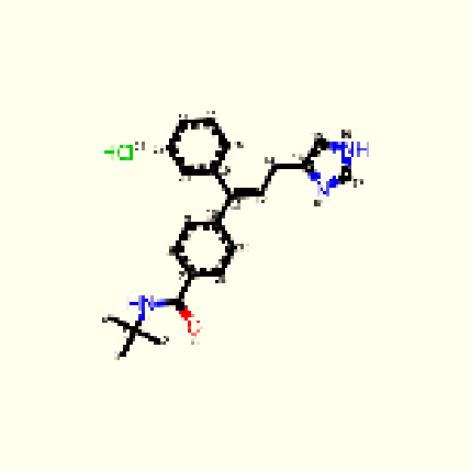 CC(C)(C)NC(=O)c1ccc(/C(=C/Cc2c[nH]cn2)c2ccccc2)cc1.Cl